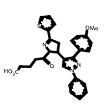 COc1ccc(-c2nn(-c3ccccc3)cc2C2CC(c3cccs3)=NC2C(=O)CCCC(=O)O)cc1